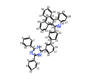 c1ccc(-c2nc(-c3ccccc3)nc(-c3cccc(-c4ccc(-c5nc6ccccc6c6c7ccccc7c7ccccc7c56)cc4)c3)n2)cc1